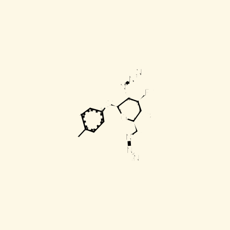 Cc1ccc(S[C@@H]2O[C@H](CN=[N+]=[N-])[C@@H](C)[C@H](F)[C@H]2N=[N+]=[N-])cc1